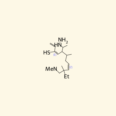 C=C/C(S)=C\C(C(C)C/C=C\C(C)(CC)CNC)C(C)NN